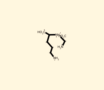 NCC(=O)O.NCCCC(N)C(=O)O